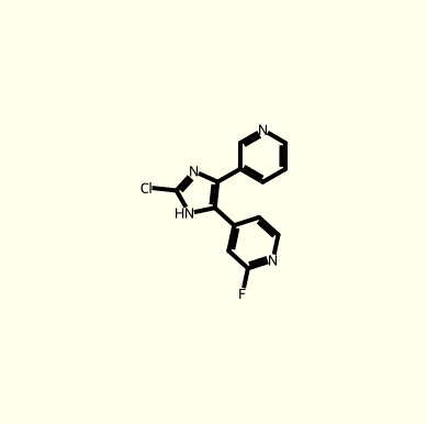 Fc1cc(-c2[nH]c(Cl)nc2-c2cccnc2)ccn1